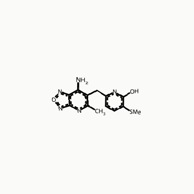 CSc1ccc(Cc2c(C)nc3nonc3c2N)nc1O